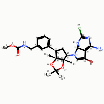 CC(C)(C)OC(=O)NCc1cccc([C@H]2C[C@@H](n3cc(Br)c4c(N)nc(Cl)nc43)[C@@H]3OC(C)(C)O[C@@H]32)c1